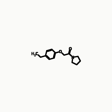 CCc1ccc(OCC(=O)N2CCCC2)cc1